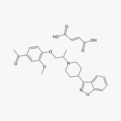 COc1cc(C(C)=O)ccc1OCC(C)N1CCC(c2noc3ccccc23)CC1.O=C(O)C=CC(=O)O